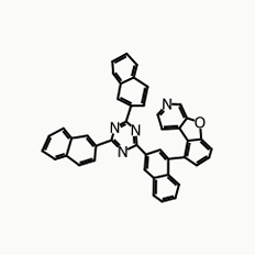 c1ccc2cc(-c3nc(-c4ccc5ccccc5c4)nc(-c4cc(-c5cccc6oc7cnccc7c56)c5ccccc5c4)n3)ccc2c1